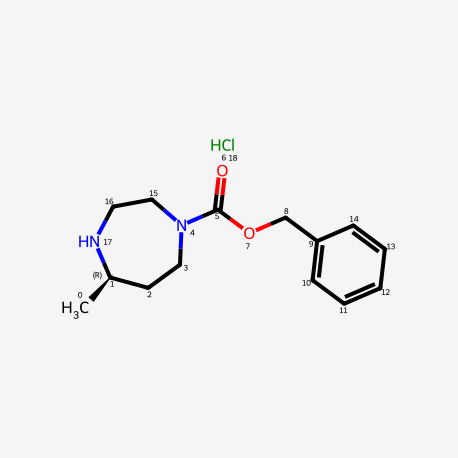 C[C@@H]1CCN(C(=O)OCc2ccccc2)CCN1.Cl